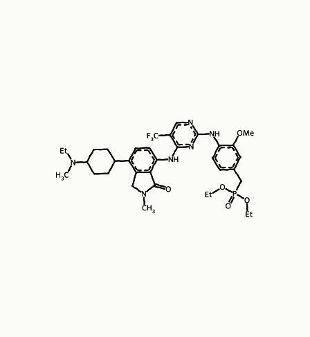 CCOP(=O)(Cc1ccc(Nc2ncc(C(F)(F)F)c(Nc3ccc(C4CCC(N(C)CC)CC4)c4c3C(=O)N(C)C4)n2)c(OC)c1)OCC